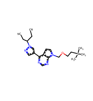 C[Si](C)(C)CCOCn1ccc2c(-c3cnn(C(CC#N)CC#N)c3)ncnc21